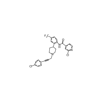 O=C(Nc1ccc(C(F)(F)F)cc1C1CCN(CC#Cc2ccc(Cl)cc2)CC1)c1ccnc(Cl)c1